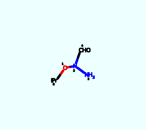 CC(C)ON(N)C=O